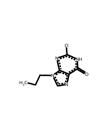 CCCn1cnc2c(=O)[nH]c(Cl)nc21